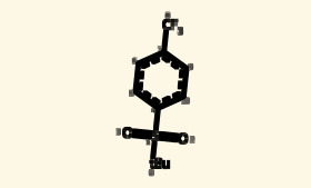 CC(C)(C)S(=O)(=O)c1ccc(C(F)(F)F)cc1